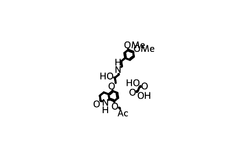 COc1ccc(CCNCC(O)COc2ccc(OCC(C)=O)c3c2CCC(=O)N3)cc1OC.O=C(O)C(=O)O